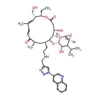 CC[C@H]1OC(=O)C[C@@H](O)[C@H](C)[C@@H](O[C@@H]2O[C@@H]3O[C@H]3C(N(C)C)C2O)[C@@H](CCNCc2cn(-c3cnc4ccccc4c3)nn2)C[C@@H](C)C(=O)/C=C/C(C)=C/[C@@H]1CO